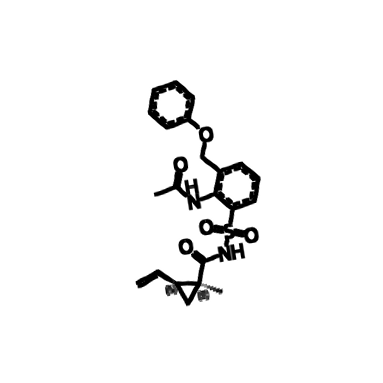 C=C[C@@H]1C[C@]1(C)C(=O)NS(=O)(=O)c1cccc(COc2ccccc2)c1NC(C)=O